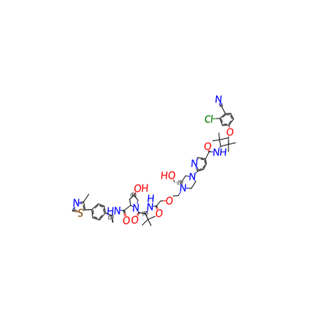 Cc1ncsc1-c1ccc([C@H](C)NC(=O)C2C[C@@H](O)CN2C(=O)[C@@H](NC(=O)COCCN2CCN(c3ccc(C(=O)NC4C(C)(C)C(Oc5ccc(C#N)c(Cl)c5)C4(C)C)cn3)C[C@H]2CO)C(C)(C)C)cc1